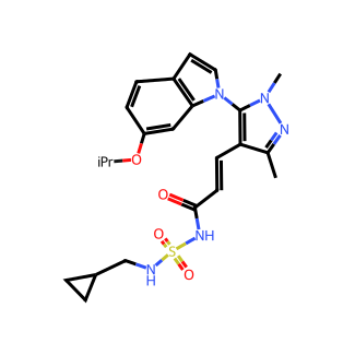 Cc1nn(C)c(-n2ccc3ccc(OC(C)C)cc32)c1C=CC(=O)NS(=O)(=O)NCC1CC1